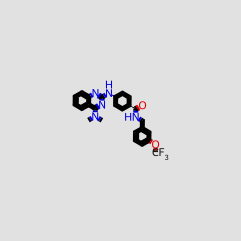 CN(C)c1nc(N[C@H]2CC[C@@H](C(=O)NCc3cccc(OC(F)(F)F)c3)CC2)nc2ccccc12